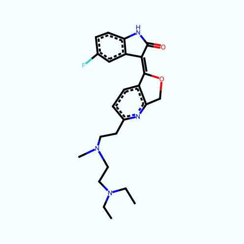 CCN(CC)CCN(C)CCc1ccc2c(n1)CO/C2=C1\C(=O)Nc2ccc(F)cc21